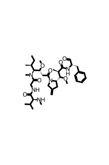 C=C1C[C@@H](C(OC)[C@@H](C)C(=O)N[C@H](C=O)Cc2ccccc2)N(C(=O)C[C@@H](OC)[C@H]([C@@H](C)CC)N(C)C(=O)CNC(=O)[C@@H](NC)C(C)C)C1